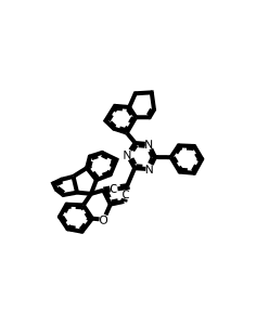 C1=CC2c3ccccc3C3(c4ccccc4Oc4ccc(-c5nc(-c6ccccc6)nc(-c6cccc7c6C=CCC7)n5)cc43)C2C=C1